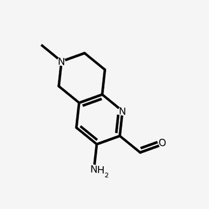 CN1CCc2nc(C=O)c(N)cc2C1